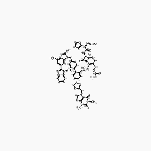 CCCc1nc2c(C)cc(-c3nc4ccccc4n3C)cc2n1Cc1ccc(-c2ccccc2C(=O)O)cc1.CO/N=C(\C(=O)N[C@@H]1C(=O)N2C(C(=O)O)=C(COC(N)=O)CS[C@H]12)c1ccco1.Cn1c(=O)c2c(ncn2CC2OCCO2)n(C)c1=O